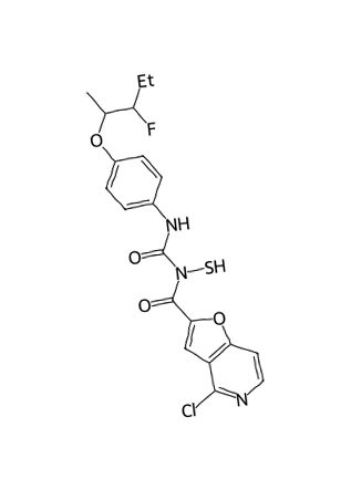 CCC(F)C(C)Oc1ccc(NC(=O)N(S)C(=O)c2cc3c(Cl)nccc3o2)cc1